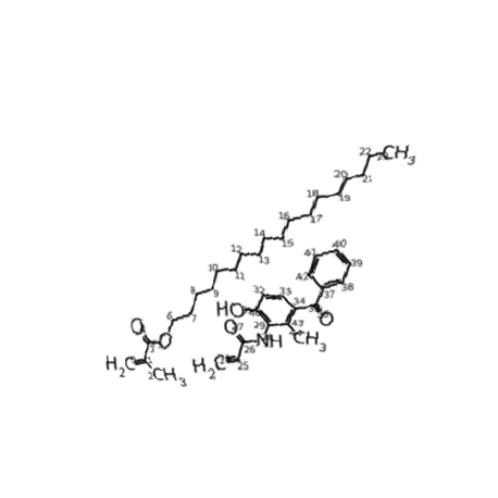 C=C(C)C(=O)OCCCCCCCCCCCCCCCCCC.C=CC(=O)Nc1c(O)ccc(C(=O)c2ccccc2)c1C